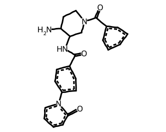 NC1CCN(C(=O)c2ccccc2)CC1NC(=O)c1ccc(-n2ccccc2=O)cc1